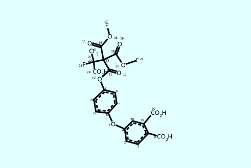 O=C(O)c1ccc(Oc2ccc(OC(=O)C(C(=O)OF)(C(=O)OF)C(F)(C(=O)O)C(F)(F)F)cc2)cc1C(=O)O